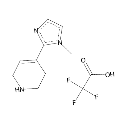 Cn1ccnc1C1=CCNCC1.O=C(O)C(F)(F)F